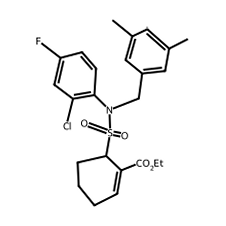 CCOC(=O)C1=CCCCC1S(=O)(=O)N(Cc1cc(C)[c]c(C)c1)c1ccc(F)cc1Cl